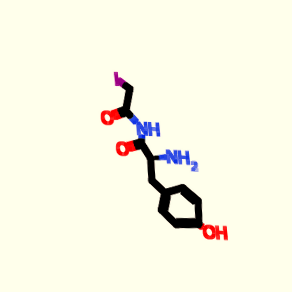 N[C@@H](Cc1ccc(O)cc1)C(=O)NC(=O)CI